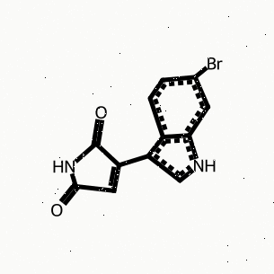 O=C1C=C(c2c[nH]c3cc(Br)ccc23)C(=O)N1